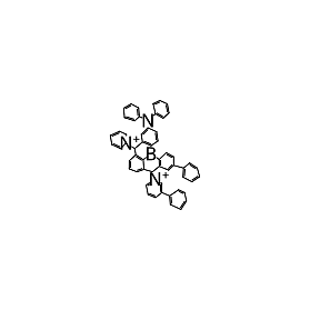 c1ccc(-c2ccc3c(c2)C([n+]2cccc(-c4ccccc4)c2)c2cccc4c2B3c2ccc(N(c3ccccc3)c3ccccc3)cc2C4[n+]2ccccc2)cc1